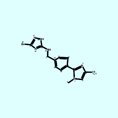 Cn1cc(C(F)(F)F)nc1-c1ccc(CNc2nc(Br)n[nH]2)cc1